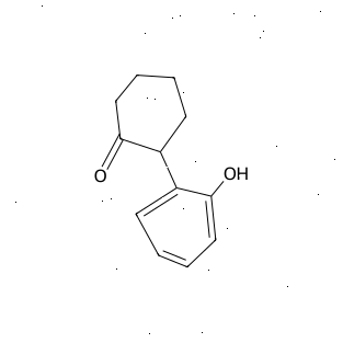 O=C1CCCCC1c1ccccc1O